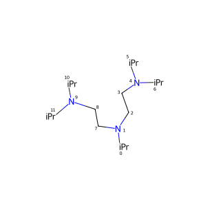 CC(C)N(CCN(C(C)C)C(C)C)CCN(C(C)C)C(C)C